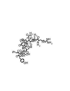 CC(C)C[C@H](NC(=O)[C@H](Cc1ccc(O)cc1)NC(=O)[C@H](CO)NC(=O)[C@H](CO)NC(=O)[C@@H](NC(=O)[C@H](CO)NC(=O)[C@H](CCC(N)=O)NC(=O)[C@H](CO)NC(=O)[C@H](C)NC(=O)[C@@H](N)CCCNC(=N)N)C(C)C)C(=O)O